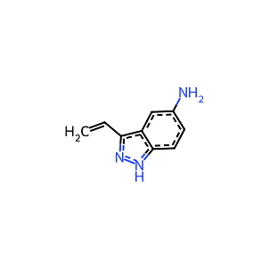 C=Cc1n[nH]c2ccc(N)cc12